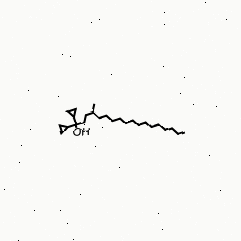 CCCCCCCCCCCCCCC(C)CCC(O)(C1CC1)C1CC1